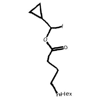 CCCCCCCCCC(=O)OC(I)C1CC1